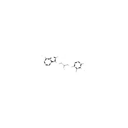 CCCc1c(OCC(O)COc2c(C(=O)O)oc3c(CCC)cccc23)ccc(C(C)=O)c1O